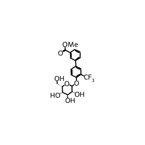 COC(=O)c1cccc(-c2ccc(OC3O[C@@H](CO)[C@@H](O)[C@H](O)[C@H]3O)c(C(F)(F)F)c2)c1